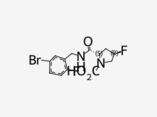 O=C(NCc1cc(Br)ccc1F)[C@@H]1C[C@@H](F)CN1C(=O)O